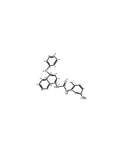 Cc1ccc(C(C)(C)C)cc1NC(=O)Nc1ccc(Oc2ccncc2)c2ccccc12